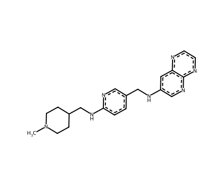 CN1CCC(CNc2ccc(CNc3cnc4nccnc4c3)cn2)CC1